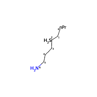 CCCC[SiH2]CCCN